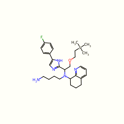 C[Si](C)(C)CCOCC(c1ncc(-c2ccc(F)cc2)[nH]1)N(CCCCN)C1CCCc2cccnc21